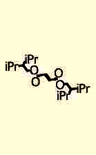 CC(C)C(COC(=O)/C=C/C(=O)OCC(C(C)C)C(C)C)C(C)C